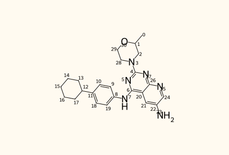 CC1CN(c2nc(Nc3ccc(C4CCCCC4)cc3)c3cc(N)cnc3n2)CCO1